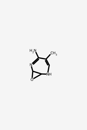 CC1=CNC2OC2N=C1N